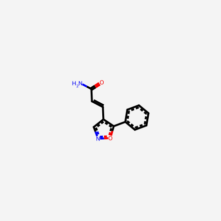 NC(=O)C=Cc1cnoc1-c1ccccc1